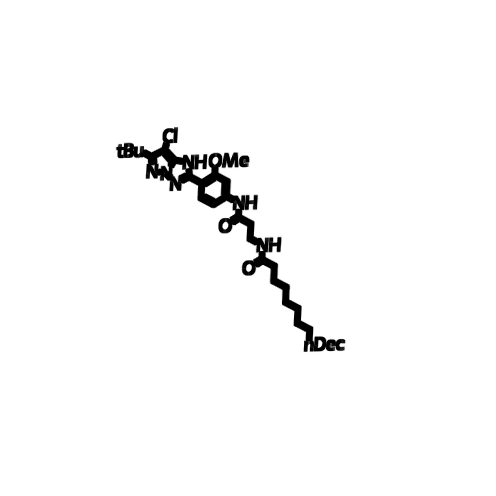 CCCCCCCCCCCCCCCCCC(=O)NCCC(=O)Nc1ccc(-c2nn3nc(C(C)(C)C)c(Cl)c3[nH]2)c(OC)c1